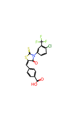 O=C(O)c1ccc(C=C2SC(=S)N(c3ccc(Cl)c(C(F)(F)F)c3)C2=O)cc1